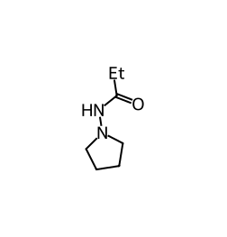 CCC(=O)NN1CCCC1